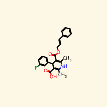 CC1=C(C(=O)O)C(c2cccc(F)c2)C(C(=O)OC/C=C/c2ccccc2)=C(C)N1